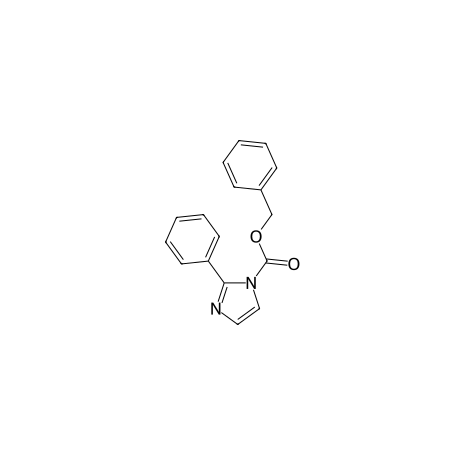 O=C(OCc1ccccc1)n1ccnc1-c1ccccc1